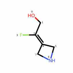 OCC(F)=C1CNC1